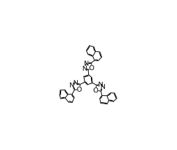 c1ccc2c(-c3nnc(-c4cc(-c5nnc(-c6cccc7ccccc67)o5)cc(-c5nnc(-c6cccc7ccccc67)o5)c4)o3)cccc2c1